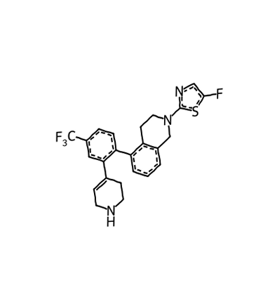 Fc1cnc(N2CCc3c(cccc3-c3ccc(C(F)(F)F)cc3C3=CCNCC3)C2)s1